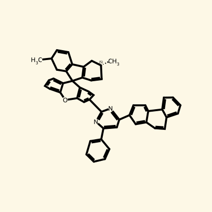 CC1C=CC2=C(C1)C1(C3=C2C[C@H](C)C=C3)c2ccccc2Oc2cc(-c3nc(-c4ccccc4)cc(-c4ccc5c(ccc6ccccc65)c4)n3)ccc21